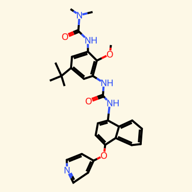 COc1c(NC(=O)Nc2ccc(Oc3ccncc3)c3ccccc23)cc(C(C)(C)C)cc1NC(=O)N(C)C